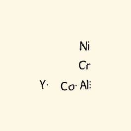 [Al].[Co].[Cr].[Ni].[Y]